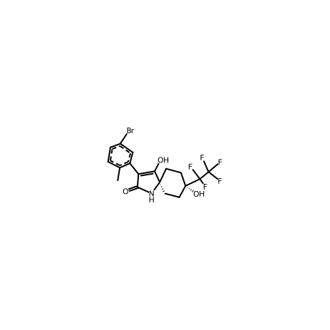 Cc1ccc(Br)cc1C1=C(O)[C@]2(CC[C@](O)(C(F)(F)C(F)(F)F)CC2)NC1=O